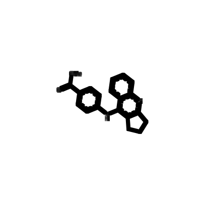 COC(=O)c1ccc(Nc2c3c(nc4ccccc24)CCC3)cc1